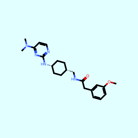 COc1cccc(CC(=O)NC[C@H]2CC[C@@H](Nc3nccc(N(C)C)n3)CC2)c1